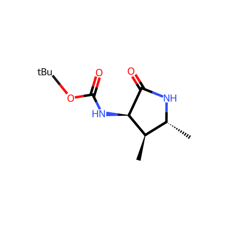 C[C@@H]1[C@@H](C)NC(=O)[C@@H]1NC(=O)OC(C)(C)C